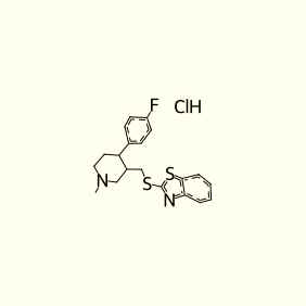 CN1CCC(c2ccc(F)cc2)C(CSc2nc3ccccc3s2)C1.Cl